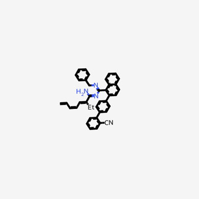 C=C\C=C/C=C(CC)/C(N)=N/C(=N\Cc1ccccc1)c1c(-c2ccc(-c3ccccc3C#N)cc2)ccc2ccccc12